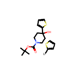 CC(C)(C)OC(=O)N1CCC(O)(c2cccs2)CC1.[Li][c]1cccs1